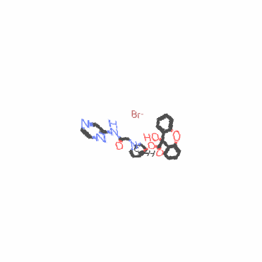 O=C(C[N+]12CCC(CC1)[C@@H](OC(=O)C1(O)c3ccccc3Oc3ccccc31)C2)Nc1cnccn1.[Br-]